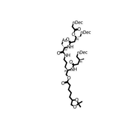 CCCCCCCCCCCC(=O)O[C@H](CCCCCCCCCCC)CC(=O)N[C@@H](CC(C)=O)C(=O)NCCC[C@H](COC(=O)CCCCC1COC(C)(C)O1)NC(=O)C[C@H](C)CCCCCCCCCCC